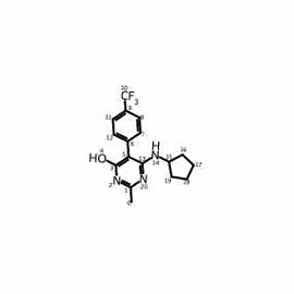 Cc1nc(O)c(-c2ccc(C(F)(F)F)cc2)c(NC2CCCC2)n1